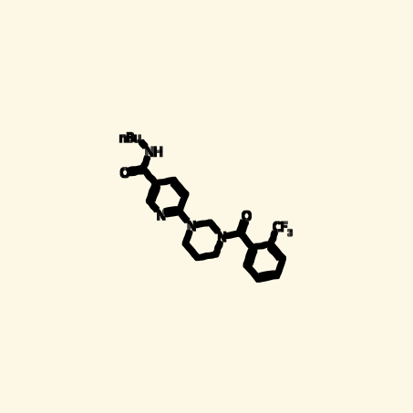 CCCCNC(=O)c1ccc(N2CCCN(C(=O)c3ccccc3C(F)(F)F)C2)nc1